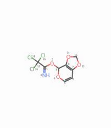 N=C(OC1OC=CC2=C1OCO2)C(Cl)(Cl)Cl